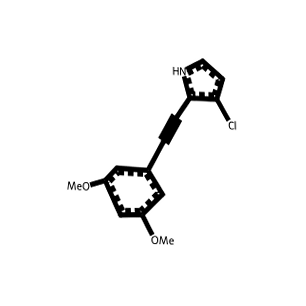 COc1cc(C#Cc2[nH]ccc2Cl)cc(OC)c1